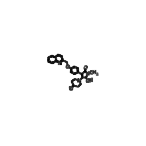 CN1C(=O)C(c2ccc(OCc3ccc4ccccc4n3)cc2)=C(N2CCC(=O)CC2)C1O